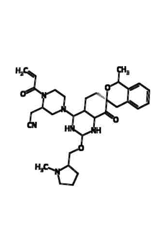 C=CC(=O)N1CCN(C2NC(OCC3CCCN3C)NC3C(=O)[C@]4(CCC32)Cc2ccccc2C(C)O4)CC1CC#N